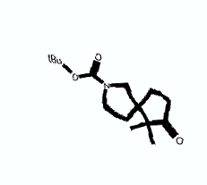 CC(C)(C)OC(=O)N1CCC2(CCC(=O)C2(C)C)C1